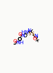 C=CC(=O)Nc1ccc(C(=O)N2CCC[C@@H](Nc3nc(C)c(SCc4ncc(C(C)(C)C)o4)s3)C2)cc1